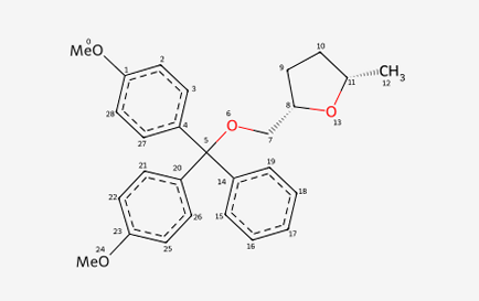 COc1ccc(C(OC[C@@H]2CC[C@H](C)O2)(c2ccccc2)c2ccc(OC)cc2)cc1